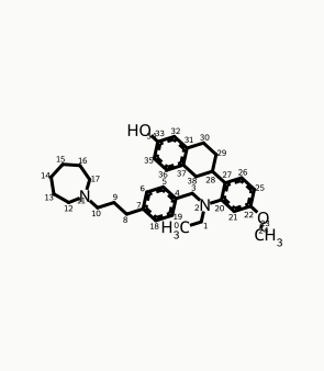 CCN(Cc1ccc(CCCN2CCCCCC2)cc1)c1cc(OC)ccc1C1CCc2cc(O)ccc2C1